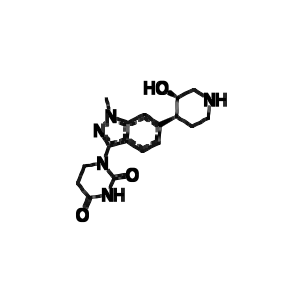 Cn1nc(N2CCC(=O)NC2=O)c2ccc([C@@H]3CCNC[C@@H]3O)cc21